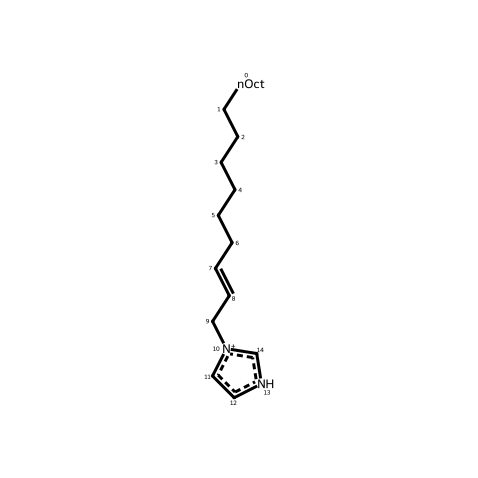 CCCCCCCCCCCCCCC=CC[n+]1cc[nH]c1